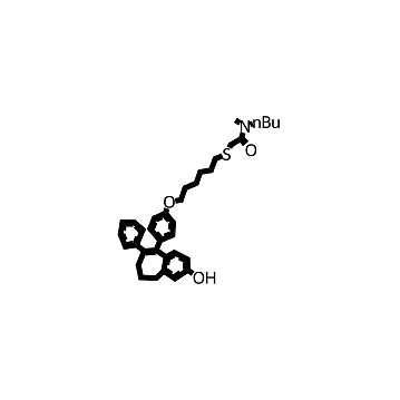 CCCCN(C)C(=O)CSCCCCCCOc1ccc(C2=C(c3ccccc3)CCCc3cc(O)ccc32)cc1